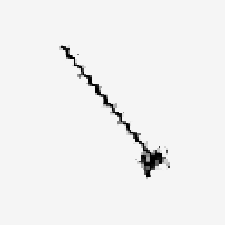 CCCCCCCCCC=CCCCCCCCCCCCCCC(CCC)(P(=O)=O)[N+](C)(C)C